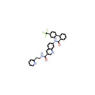 O=C(NCCc1ccccn1)c1cnc2cc(NC(=O)c3ccccc3-c3ccc(C(F)(F)F)cc3)ccc2c1